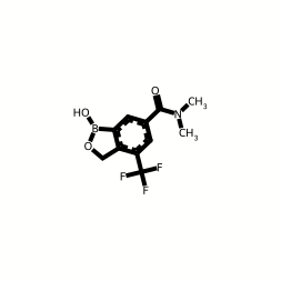 CN(C)C(=O)c1cc2c(c(C(F)(F)F)c1)COB2O